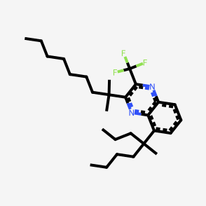 CCCCCCCC(C)(C)c1nc2c(C(C)(CCC)CCCC)cccc2nc1C(F)(F)F